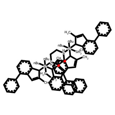 CCC[CH2][Zr]([CH2]CCC)([SiH2]C)([CH]1C(C)=Cc2c(-c3ccccc3)cccc21)([CH]1C(C)=Cc2c(-c3ccccc3)cccc21)[SiH]1CC[SiH]([Zr]([CH2]CCC)([CH2]CCC)([SiH2]C)([CH]2C(C)=Cc3c(-c4ccccc4)cccc32)[CH]2C(C)=Cc3c(-c4ccccc4)cccc32)CC1